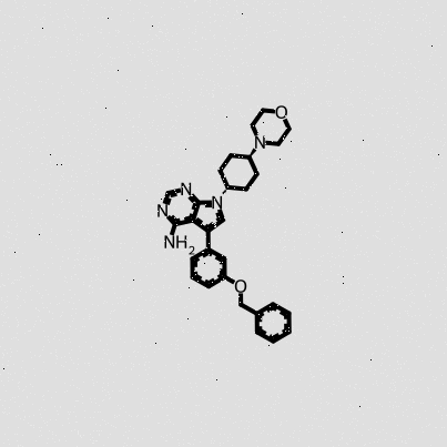 Nc1ncnc2c1c(-c1cccc(OCc3ccccc3)c1)cn2[C@H]1CC[C@H](N2CCOCC2)CC1